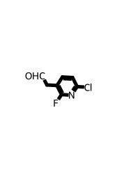 O=CCc1ccc(Cl)nc1F